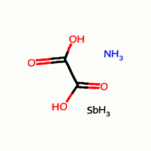 N.O=C(O)C(=O)O.[SbH3]